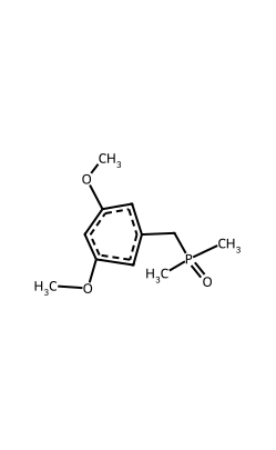 COc1cc(CP(C)(C)=O)cc(OC)c1